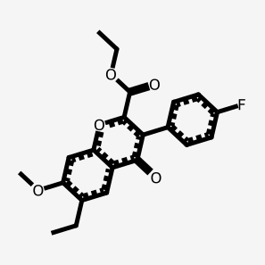 CCOC(=O)c1oc2cc(OC)c(CC)cc2c(=O)c1-c1ccc(F)cc1